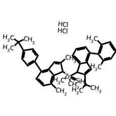 CC1=Cc2c(-c3ccc(C(C)(C)C)cc3)ccc(C)c2[CH]1[Zr]([CH3])([CH3])(=[SiH2])[CH]1C(C(C)C)=Cc2c(-c3c(C)cccc3C)cccc21.Cl.Cl